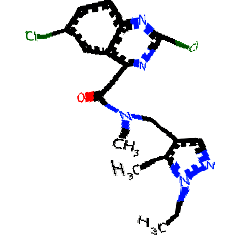 CCn1ncc(CN(C)C(=O)c2nc(Cl)nc3ccc(Cl)cc23)c1C